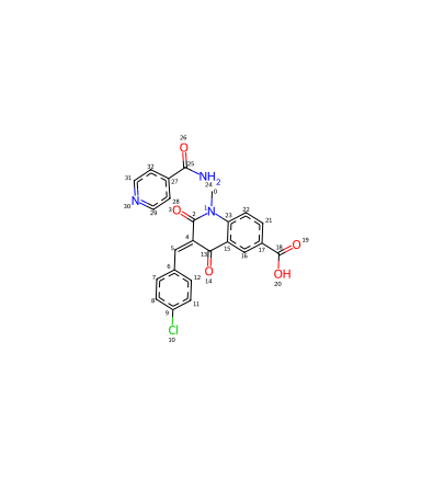 CN1C(=O)/C(=C/c2ccc(Cl)cc2)C(=O)c2cc(C(=O)O)ccc21.NC(=O)c1ccncc1